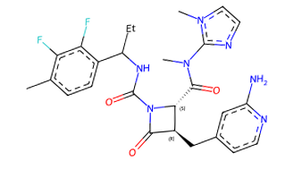 CCC(NC(=O)N1C(=O)[C@H](Cc2ccnc(N)c2)[C@H]1C(=O)N(C)c1nccn1C)c1ccc(C)c(F)c1F